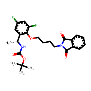 C[C@@H](NC(=O)OC(C)(C)C)c1cc(F)cc(F)c1OCCCCN1C(=O)c2ccccc2C1=O